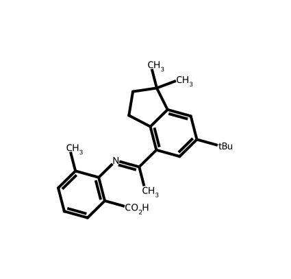 CC(=Nc1c(C)cccc1C(=O)O)c1cc(C(C)(C)C)cc2c1CCC2(C)C